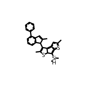 CC1=Cc2c(-c3ccccc3)cccc2C1C1=C(C)SC2C1=c1cc(C)sc1=C2[SiH](C)C